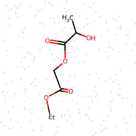 CCOC(=O)COC(=O)C(C)O